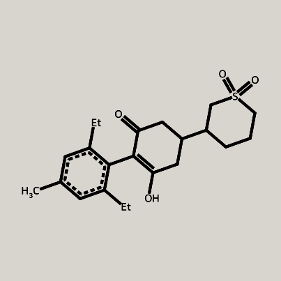 CCc1cc(C)cc(CC)c1C1=C(O)CC(C2CCCS(=O)(=O)C2)CC1=O